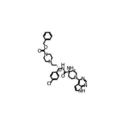 NC1(C(=O)N[C@@H](CCN2CCN(C(=O)OCc3ccccc3)CC2)c2ccc(Cl)cc2)CCN(c2ncnc3[nH]ccc23)CC1